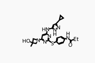 CCC(=O)Nc1ccc(Sc2nc(Nc3cc(C4CC4)n[nH]3)cc(N3CC(C)(O)C3)n2)cc1